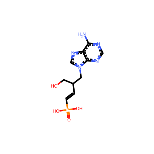 Nc1ncnc2c1ncn2CC(C=CP(=O)(O)O)CO